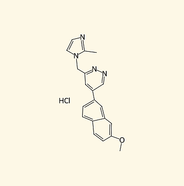 COc1ccc2ccc(-c3cnnc(Cn4ccnc4C)c3)cc2c1.Cl